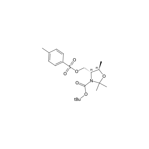 Cc1ccc(S(=O)(=O)OC[C@@H]2[C@@H](C)OC(C)(C)N2C(=O)OC(C)(C)C)cc1